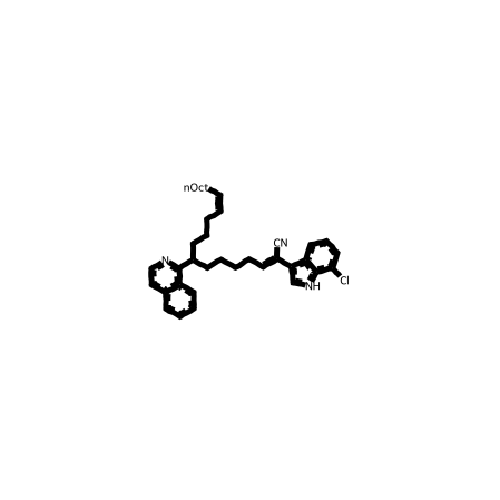 CCCCCCCC/C=C\CCCC(CCCC/C=C(\C#N)c1c[nH]c2c(Cl)cccc12)c1nccc2ccccc12